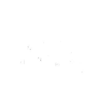 CC(=O)OCc1ccc2cnc(Cl)nc2c1Br